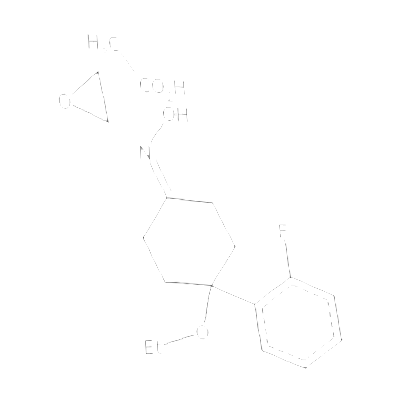 C1CO1.CC(=O)O.CCOC1(c2ccccc2F)CCC(=NO)CC1